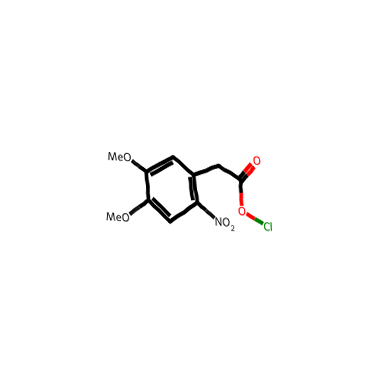 COc1cc(CC(=O)OCl)c([N+](=O)[O-])cc1OC